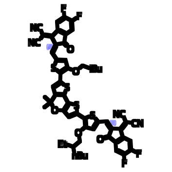 CCCCC(CC)COc1cc(/C=C2\C(=O)c3cc(F)c(F)cc3C2=C(C#N)C#N)sc1-c1cc2c(s1)-c1sc(-c3sc(/C=C4\C(=O)c5cc(F)c(F)cc5C4=C(C#N)C#N)cc3OCC(C)CC)cc1C(C)(C)O2